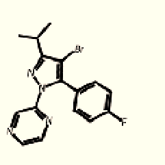 CC(C)c1nn(-c2cnccn2)c(-c2ccc(F)cc2)c1Br